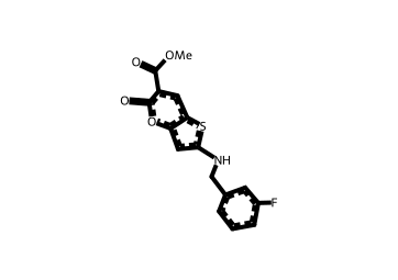 COC(=O)c1cc2sc(NCc3cccc(F)c3)cc2oc1=O